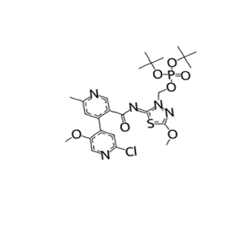 COc1nn(COP(=O)(OC(C)(C)C)OC(C)(C)C)c(=NC(=O)c2cnc(C)cc2-c2cc(Cl)ncc2OC)s1